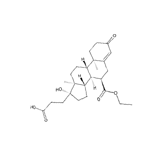 CCOC(=O)[C@@H]1CC2=CC(=O)CC[C@]2(C)[C@H]2CC[C@@]3(C)[C@@H](CC[C@@]3(O)CCC(=O)O)[C@H]12